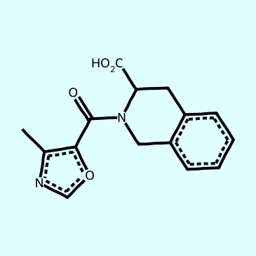 Cc1ncoc1C(=O)N1Cc2ccccc2CC1C(=O)O